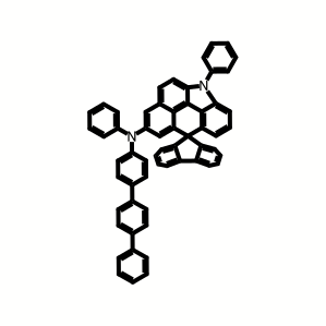 c1ccc(-c2ccc(-c3ccc(N(c4ccccc4)c4cc5c6c(ccc7c6c6c(cccc6n7-c6ccccc6)C56c5ccccc5-c5ccccc56)c4)cc3)cc2)cc1